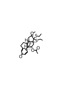 CCSC1(SCC)[C@H](OC)C[C@H]2[C@@H]3CCC4=CC(=O)C=C[C@]4(C)[C@@]3(F)[C@@H](OC(C)=O)C[C@@]21C